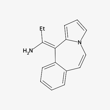 CC/C(N)=C1/c2ccccc2C=Cn2cccc21